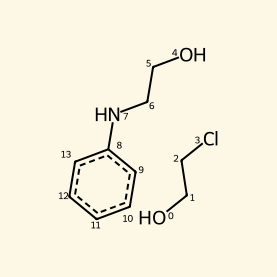 OCCCl.OCCNc1ccccc1